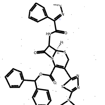 CO/N=C(/C(=O)NC1C(=O)N2C(C(=O)OC(c3ccccc3)c3ccccc3)=C(c3nnc(N(C)C)s3)CS[C@H]12)c1ccccc1